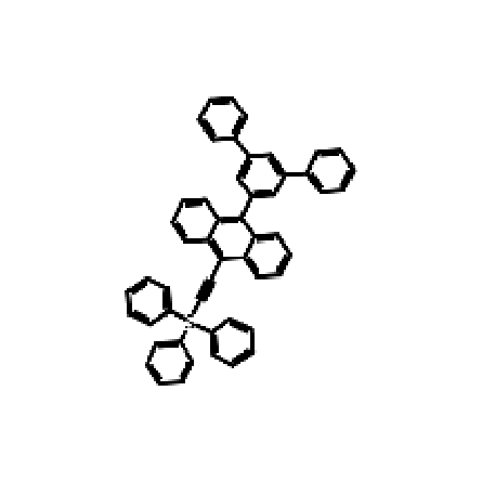 C(#CS(c1ccccc1)(c1ccccc1)c1ccccc1)c1c2ccccc2c(-c2cc(-c3ccccc3)cc(-c3ccccc3)c2)c2ccccc12